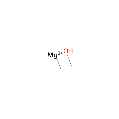 CO.[CH3][Mg+2]